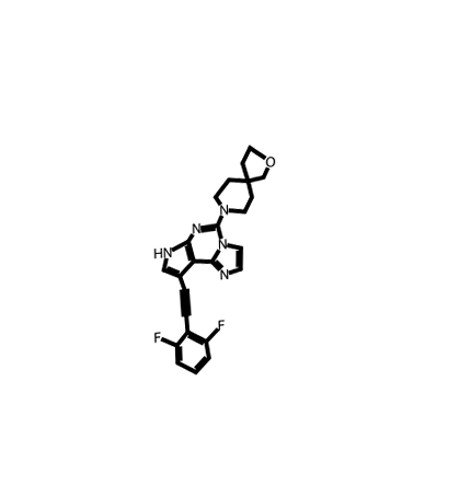 Fc1cccc(F)c1C#Cc1c[nH]c2nc(N3CCC4(CCOC4)CC3)n3ccnc3c12